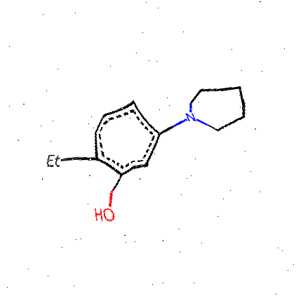 CCc1ccc(N2CCCC2)cc1O